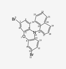 Brc1ccc2c(c1)Oc1cc(Br)ccc1N2c1cccc2ccccc12